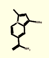 C=C(N)c1ccn2c(C)cc(NC)c2c1